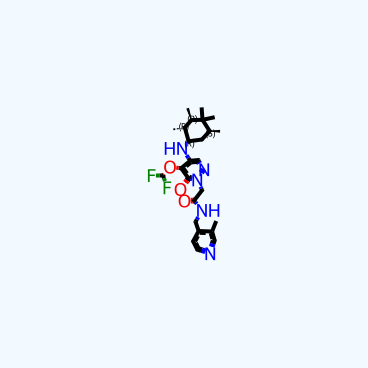 Cc1cnccc1CNC(=O)Cn1ncc(N[C@@H]2C[C@H](C)C(C)(C)[C@H](C)[C@H]2C)c(OC(F)F)c1=O